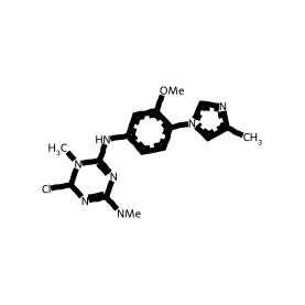 CNC1=NC(Cl)N(C)C(Nc2ccc(-n3cnc(C)c3)c(OC)c2)=N1